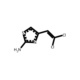 Nc1nc(C=C(Cl)Cl)cs1